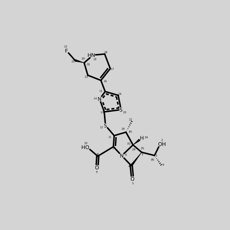 C[C@@H](O)[C@H]1C(=O)N2C(C(=O)O)=C(Sc3nc(C4=CCN[C@H](CF)C4)cs3)[C@H](C)[C@H]12